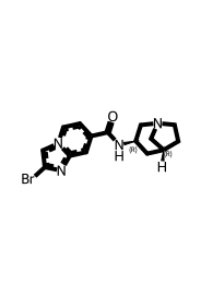 O=C(N[C@@H]1C[C@H]2CCN(C2)C1)c1ccn2cc(Br)nc2c1